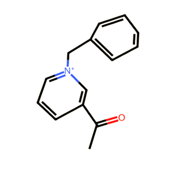 CC(=O)c1ccc[n+](Cc2ccccc2)c1